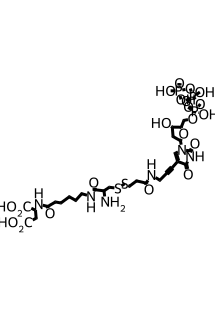 NC(CSSCCC(=O)NCC#Cc1cn(C2CC(O)C(COP(=O)(O)OP(=O)(O)OP(=O)(O)O)O2)c(=O)[nH]c1=O)C(=O)NCCCCCC(=O)NC(CC(=O)O)C(=O)O